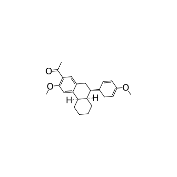 COC1=CCC([C@@H]2Cc3cc(C(C)=O)c(OC)cc3[C@@H]3CCCC[C@@H]32)C=C1